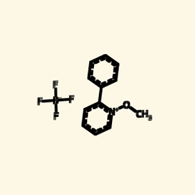 CO[n+]1ccccc1-c1ccccc1.F[B-](F)(F)F